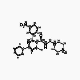 Cc1nc(-c2ccccc2)nc(-c2cccc([N+](=O)[O-])c2)c1C(=O)NCN1CCN(C)CC1